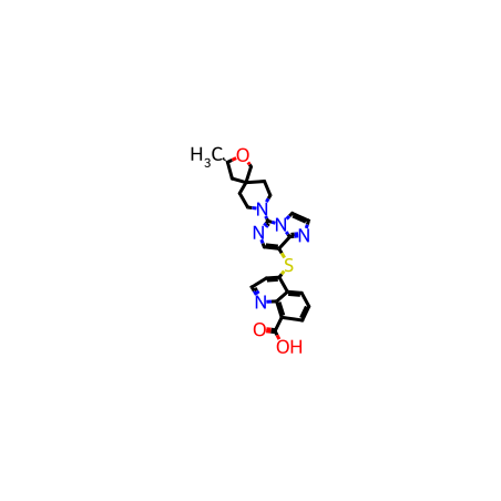 C[C@H]1CC2(CCN(c3ncc(Sc4ccnc5c(C(=O)O)cccc45)c4nccn34)CC2)CO1